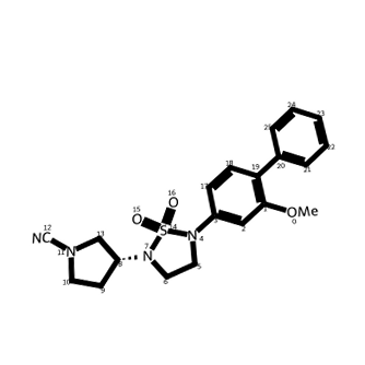 COc1cc(N2CCN([C@@H]3CCN(C#N)C3)S2(=O)=O)ccc1-c1ccccc1